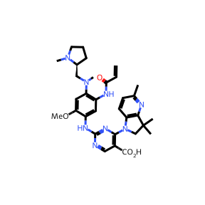 C=CC(=O)Nc1cc(Nc2ncc(C(=O)O)c(N3CC(C)(C)c4nc(C)ccc43)n2)c(OC)cc1N(C)C[C@@H]1CCCN1C